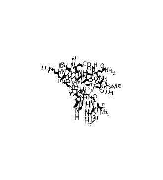 CC[C@H](C)[C@H](N)C(=O)N[C@@H](CCC(N)=O)C(=O)N[C@@H](C)C(=O)N[C@@H](Cc1c[nH]cn1)C(=O)N[C@@H](C)C(=O)NCC(=O)N[C@@H](CCCCN)C(=O)N[C@H](C(=O)N[C@@H](CCC(=O)O)C(=O)N[C@@H](C)C(=O)N[C@@H](CC(C)C)C(=O)N[C@@H](CO)C(=O)N[C@@H](CCC(N)=O)C(=O)N[C@@H](CCSC)C(=O)N[C@@H](CC(=O)O)C(=O)O)[C@@H](C)CC